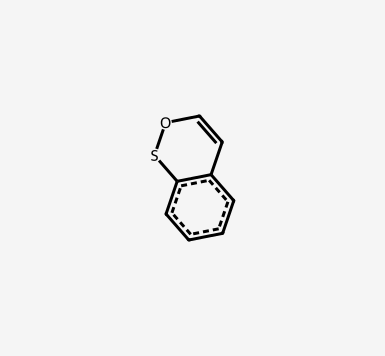 C1=Cc2ccccc2SO1